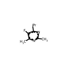 Cc1nc(C)c(F)c(C(C)C)n1